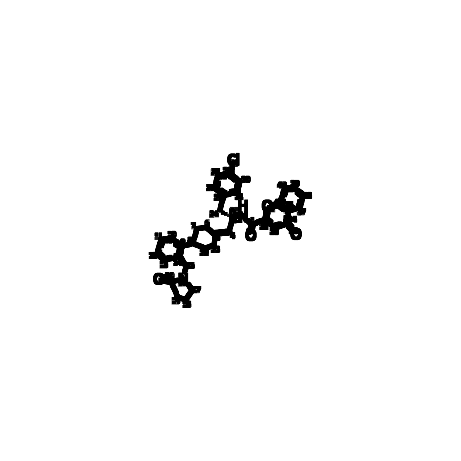 O=C(N[C@H](C=C1CCC(c2ccccc2CN2CCCC2=O)CC1)Cc1ccc(Cl)cc1)c1cc(=O)c2ccccc2o1